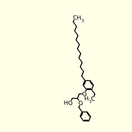 CCCCCCCCCCCCCCc1ccc(CC)c(OCC(CO)OCc2ccccc2)c1